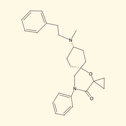 CN(CCc1ccccc1)[C@H]1CC[C@@]2(CC1)CN(c1ccccc1)C(=O)C1(CC1)O2